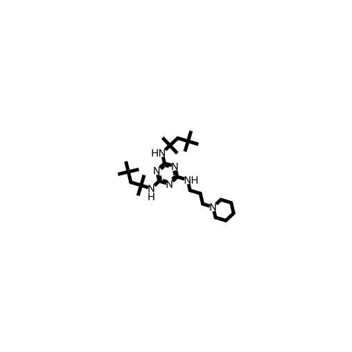 CC(C)(C)CC(C)(C)Nc1nc(NCCCN2CCCCC2)nc(NC(C)(C)CC(C)(C)C)n1